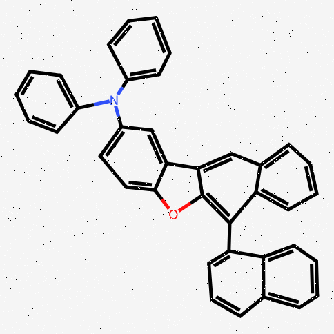 c1ccc(N(c2ccccc2)c2ccc3oc4c(-c5cccc6ccccc56)c5ccccc5cc4c3c2)cc1